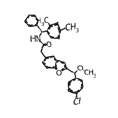 COC(c1ccc(Cl)cc1)c1cc2cc(CC(=O)NC(c3ccccc3)c3ccc(C)cc3C)ccc2o1